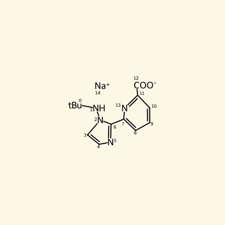 CC(C)(C)Nn1ccnc1-c1cccc(C(=O)[O-])n1.[Na+]